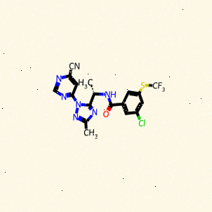 Cc1nc([C@H](C)NC(=O)c2cc(Cl)cc(SC(F)(F)F)c2)n(-c2cc(C#N)ncn2)n1